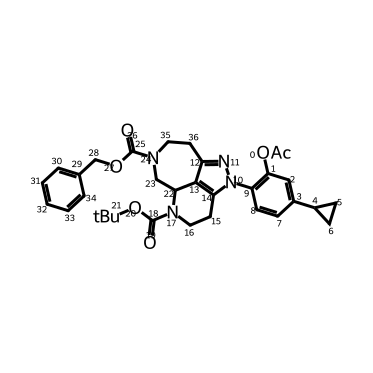 CC(=O)Oc1cc(C2CC2)ccc1-n1nc2c3c1CCN(C(=O)OC(C)(C)C)C3CN(C(=O)OCc1ccccc1)CC2